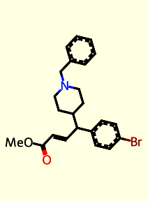 COC(=O)/C=C/C(c1ccc(Br)cc1)C1CCN(Cc2ccccc2)CC1